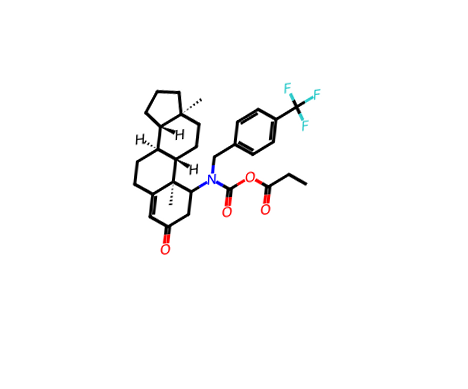 CCC(=O)OC(=O)N(Cc1ccc(C(F)(F)F)cc1)C1CC(=O)C=C2CC[C@H]3[C@@H]4CCC[C@@]4(C)CC[C@@H]3[C@]21C